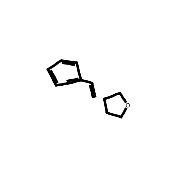 C1CCOC1.C=Cc1ccccc1